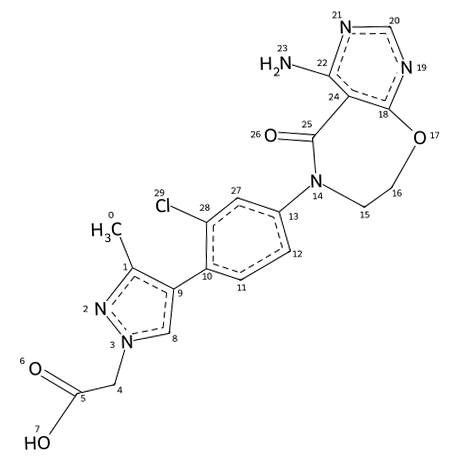 Cc1nn(CC(=O)O)cc1-c1ccc(N2CCOc3ncnc(N)c3C2=O)cc1Cl